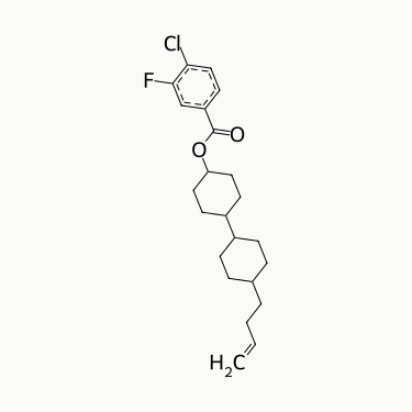 C=CCCC1CCC(C2CCC(OC(=O)c3ccc(Cl)c(F)c3)CC2)CC1